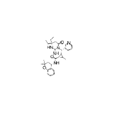 CCC1(CC)CC(=O)N([C@H](c2cccnc2)C2C(C)[C@H]2C(=O)N[C@H]2CC(C)(C)Oc3ccccc32)C(=N)N1